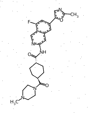 Cc1ncc(-c2cc(F)c3cnc(NC(=O)[C@H]4CC[C@H](C(=O)N5CCN(C)CC5)CC4)cc3c2)o1